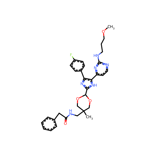 COCCCNc1nccc(-c2[nH]c(C3OCC(C)(CNC(=O)Cc4ccccc4)CO3)nc2-c2ccc(F)cc2)n1